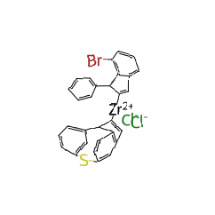 Brc1cccc2c1C(c1ccccc1)[C]([Zr+2][C]1=Cc3cc4ccc3C1c1cccc(c1)S4)=C2.[Cl-].[Cl-]